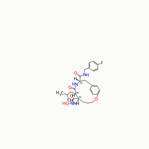 CC(C)C[C@H]1C(=O)N[C@H](C(=O)NCc2ccc(F)cc2)Cc2ccc(cc2)OCCC[C@@H]1C(=O)NO